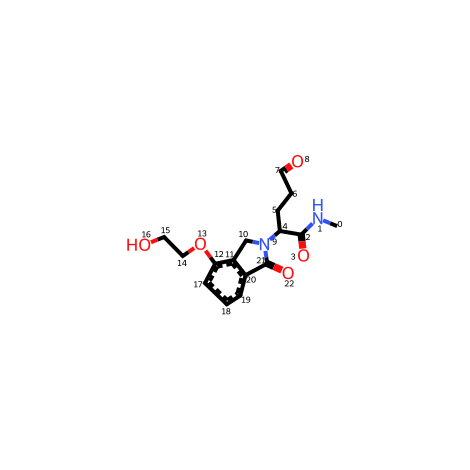 CNC(=O)C(CCC=O)N1Cc2c(OCCO)cccc2C1=O